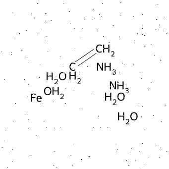 C=C.N.N.O.O.O.O.[Fe]